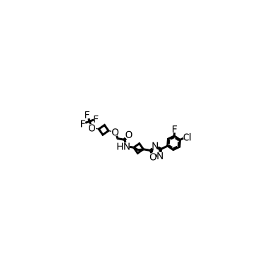 O=C(CO[C@H]1C[C@@H](OC(F)(F)F)C1)NC12CC(c3nc(-c4ccc(Cl)c(F)c4)no3)(C1)C2